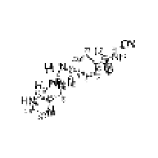 N#CCNS(=O)(=O)c1ccc(/C(N)=N/N(N)CC2=CNCC=N2)cc1